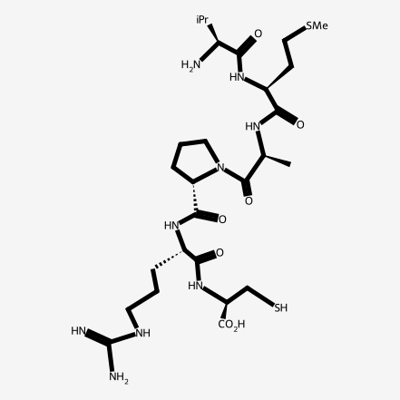 CSCC[C@H](NC(=O)[C@@H](N)C(C)C)C(=O)N[C@@H](C)C(=O)N1CCC[C@H]1C(=O)N[C@@H](CCCNC(=N)N)C(=O)N[C@@H](CS)C(=O)O